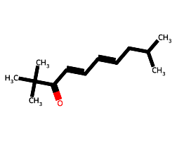 CC(C)C/C=C/C=C/C(=O)C(C)(C)C